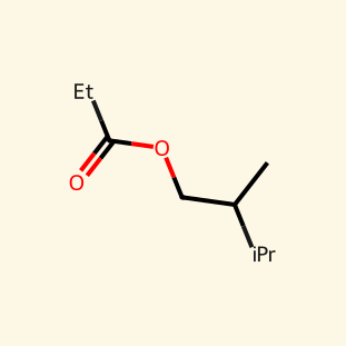 CCC(=O)OCC(C)C(C)C